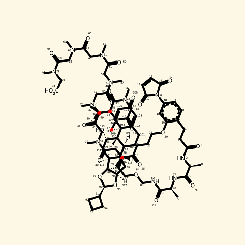 C[C@H](NC(=O)CCc1ccc(N2C(=O)C=CC2=O)cc1OCCCC(=O)N(C)CC(=O)N(C)CC(=O)N(C)CC(=O)N(C)CC(=O)N(C)CC(=O)N(C)CC(=O)N(C)CC(=O)N(C)CC(=O)N(C)CC(=O)N(C)CC(=O)O)C(=O)N[C@@H](C)C(=O)NCOCC(=O)[C@@]12O[C@H](C3CCC3)O[C@@H]1C[C@H]1[C@@H]3CCC4=CC(=O)C=C[C@]4(C)[C@@]3(F)[C@@H](O)C[C@@]12C